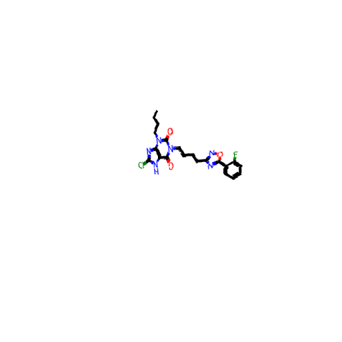 CCCCn1c(=O)n(CCCCc2noc(-c3ccccc3F)n2)c(=O)c2[nH]c(Cl)nc21